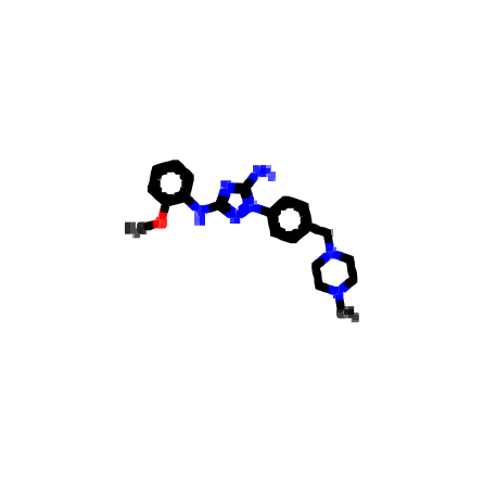 COc1ccccc1Nc1nc(N)n(-c2ccc([C]N3CCN(C)CC3)cc2)n1